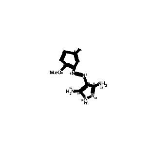 COc1ccc(C)cc1N=Nc1c(N)n[nH]c1N